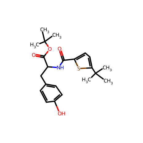 CC(C)(C)OC(=O)C(Cc1ccc(O)cc1)NC(=O)c1ccc(C(C)(C)C)s1